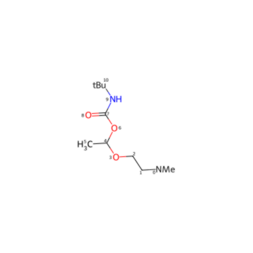 CNCCOC(C)OC(=O)NC(C)(C)C